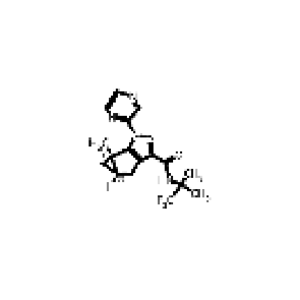 CC(C)(NC(=O)c1nn(-c2cnccn2)c2c1C[C@@H]1C[C@]21C)C(F)(F)F